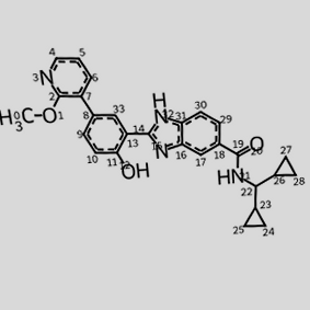 COc1ncccc1-c1ccc(O)c(-c2nc3cc(C(=O)NC(C4CC4)C4CC4)ccc3[nH]2)c1